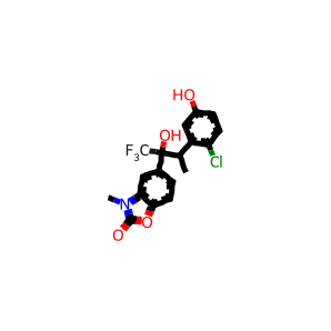 CC(c1cc(O)ccc1Cl)C(O)(c1ccc2oc(=O)n(C)c2c1)C(F)(F)F